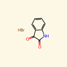 Br.O=C1Nc2ccccc2C1=O